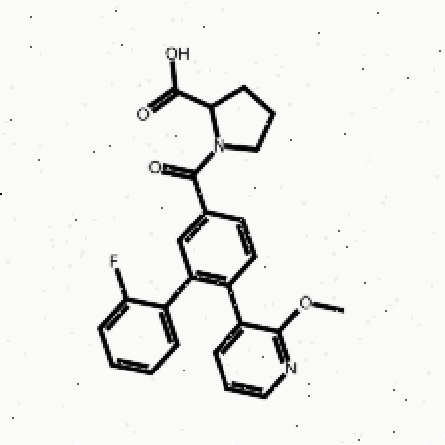 COc1ncccc1-c1ccc(C(=O)N2CCCC2C(=O)O)cc1-c1ccccc1F